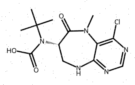 CN1C(=O)[C@@H](N(C(=O)O)C(C)(C)C)CNc2ncnc(Cl)c21